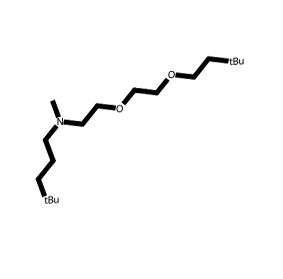 CN(CCCC(C)(C)C)CCOCCOCCC(C)(C)C